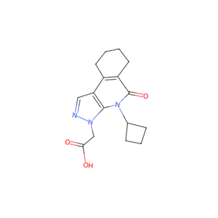 O=C(O)Cn1ncc2c3c(c(=O)n(C4CCC4)c21)CCCC3